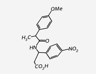 COc1ccc(C(C)C(=O)NC(CC(=O)O)c2ccc([N+](=O)[O-])cc2)cc1